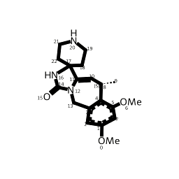 COc1cc2c(c(OC)c1)[C@@H](C)C=C1N(C2)C(=O)NC12CCNCC2